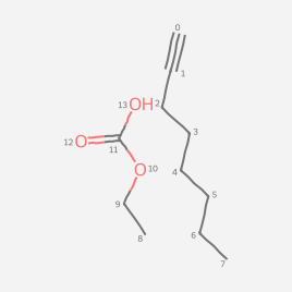 C#CCCCCCC.CCOC(=O)O